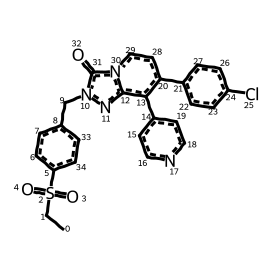 CCS(=O)(=O)c1ccc(Cn2nc3c(-c4ccncc4)c(-c4ccc(Cl)cc4)ccn3c2=O)cc1